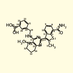 Cc1sc2c(C(N)=O)cccc2c1-c1nc2c(c(NCc3cccc(B(O)O)c3)n1)N(C)CCC2